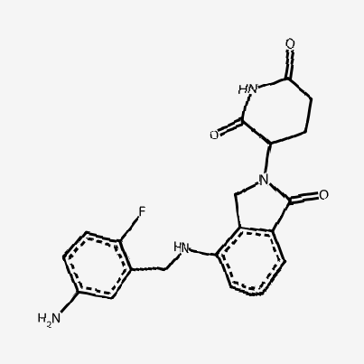 Nc1ccc(F)c(CNc2cccc3c2CN(C2CCC(=O)NC2=O)C3=O)c1